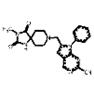 CN1C(=O)NC2(CCN(Cc3cc4cnc(C#N)nc4n3-c3ccccc3)CC2)C1=O